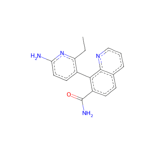 CCc1nc(N)ccc1-c1c(C(N)=O)ccc2cccnc12